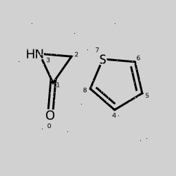 O=C1CN1.c1ccsc1